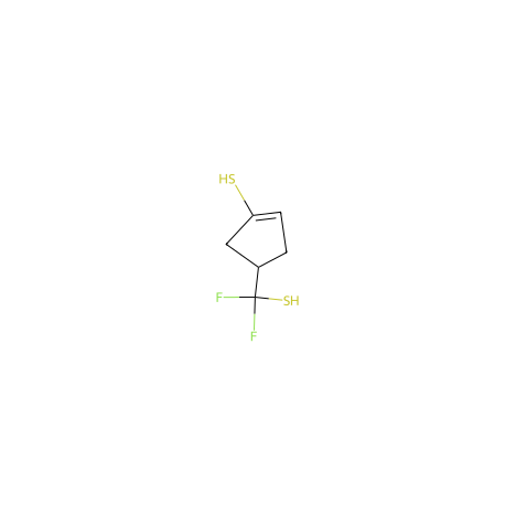 FC(F)(S)C1CC=C(S)C1